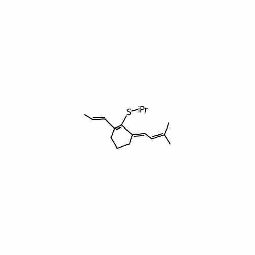 C/C=C/C1=C(SC(C)C)C(=C/C=C(C)C)/CCC1